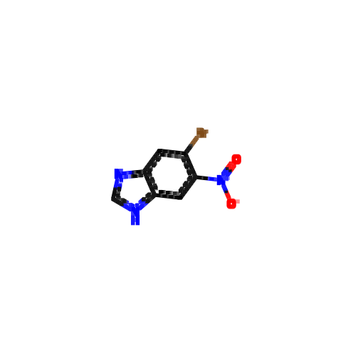 O=[N+]([O-])c1cc2[nH]cnc2cc1Br